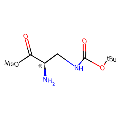 COC(=O)[C@H](N)CNC(=O)OC(C)(C)C